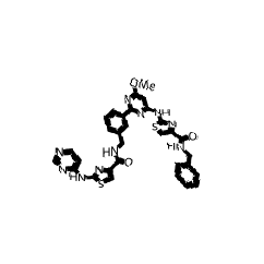 COc1cc(Nc2nc(C(=O)NCc3ccccc3)cs2)nc(-c2cccc(CNC(=O)c3csc(Nc4ccncn4)n3)c2)n1